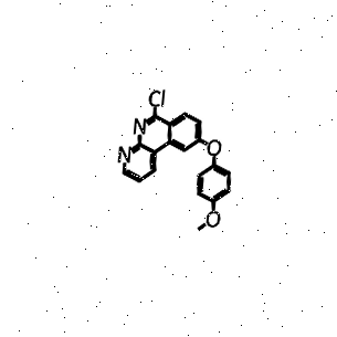 COc1ccc(Oc2ccc3c(Cl)nc4ncccc4c3c2)cc1